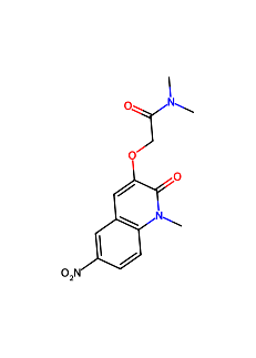 CN(C)C(=O)COc1cc2cc([N+](=O)[O-])ccc2n(C)c1=O